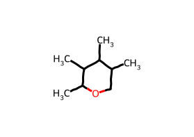 CC1COC(C)C(C)C1C